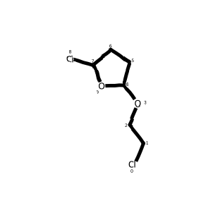 ClCCOC1CCC(Cl)O1